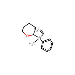 C=C[Si](C)(c1ccccc1)C1CCCCO1